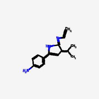 C=C/N=C1/NC(c2ccc(N)cc2)=CC1=C(C)C